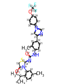 Cc1ccc(C(C)C)c(N2C(=O)CS/C2=N\C(=O)Nc2ccc(-c3cn(-c4ccc(OC(F)(F)F)cc4)cn3)cc2C)c1